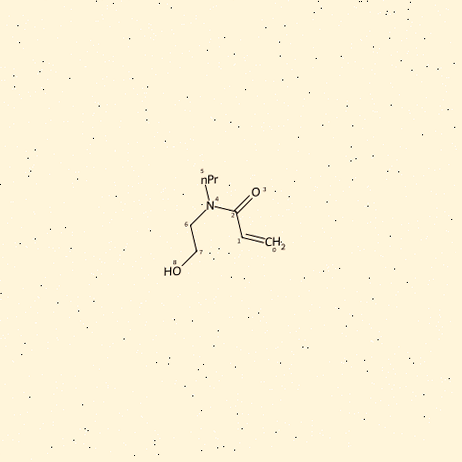 C=CC(=O)N(CCC)CCO